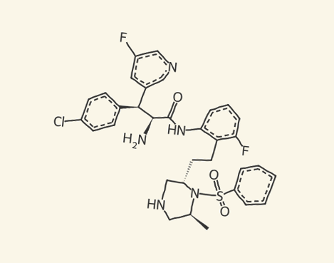 C[C@H]1CNC[C@H](CCc2c(F)cccc2NC(=O)[C@@H](N)[C@@H](c2ccc(Cl)cc2)c2cncc(F)c2)N1S(=O)(=O)c1ccccc1